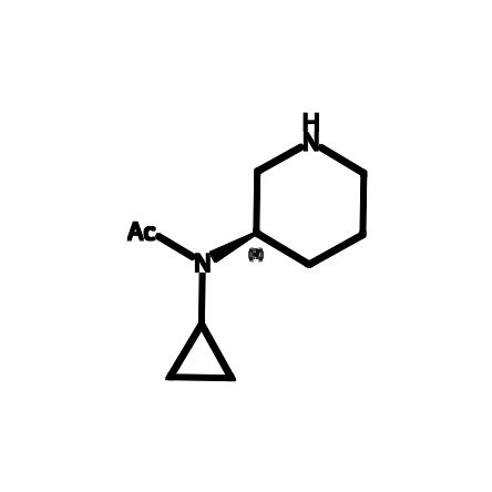 CC(=O)N(C1CC1)[C@@H]1CCCNC1